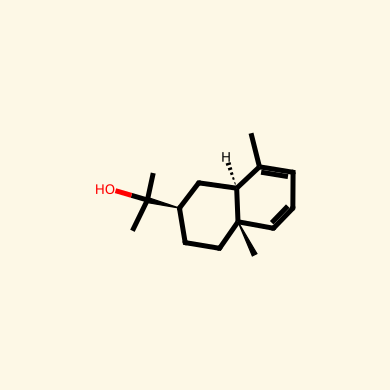 CC1=CC=C[C@]2(C)CC[C@@H](C(C)(C)O)C[C@@H]12